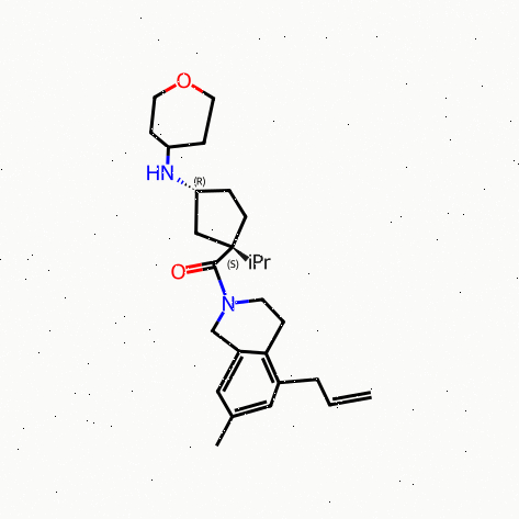 C=CCc1cc(C)cc2c1CCN(C(=O)[C@@]1(C(C)C)CC[C@@H](NC3CCOCC3)C1)C2